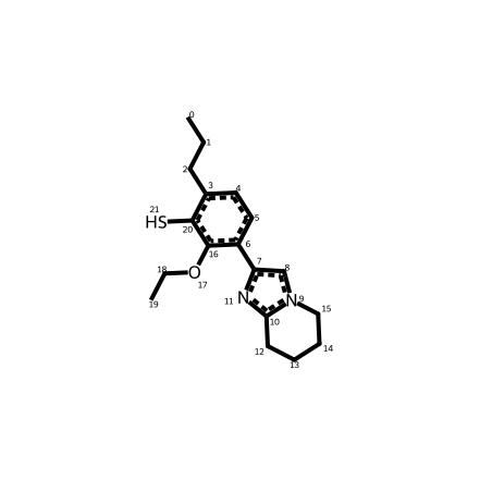 CCCc1ccc(-c2cn3c(n2)CCCC3)c(OCC)c1S